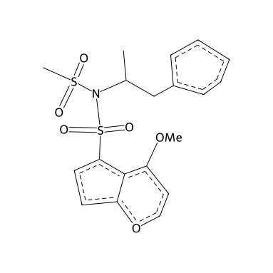 COc1ccoc2ccc(S(=O)(=O)N(C(C)Cc3ccccc3)S(C)(=O)=O)c1-2